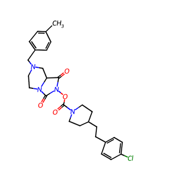 Cc1ccc(CN2CCN3C(=O)N(OC(=O)N4CCC(CCc5ccc(Cl)cc5)CC4)C(=O)C3C2)cc1